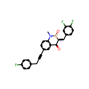 CN1c2ccc(C#CCc3ccc(F)cc3)cc2C(=O)/C(=C/c2ccc(F)c(F)c2)[S+]1[O-]